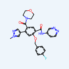 Cn1cc(-c2cc(OCc3ccc(F)cc3)c(C(=O)Nc3ccnnc3)cc2C(=O)N2CCOCC2)cn1